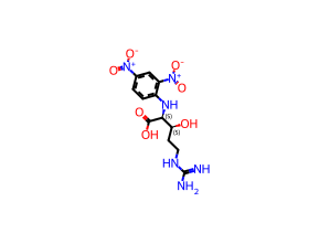 N=C(N)NCC[C@H](O)[C@H](Nc1ccc([N+](=O)[O-])cc1[N+](=O)[O-])C(=O)O